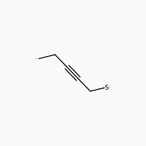 [CH2]CC#CC[S]